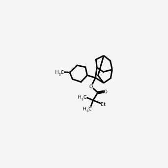 CCC(C)(C)C(=O)OC1(C2CCC(C)CC2)C2CC3CC(C2)CC1C3